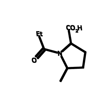 CCC(=O)N1C(C)CCC1C(=O)O